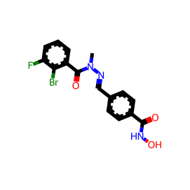 CN(/N=C/c1ccc(C(=O)NO)cc1)C(=O)c1cccc(F)c1Br